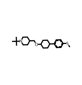 CSc1ccc(C2CCC(OCC3CCN(C(C)(C)C)CC3)CC2)cc1